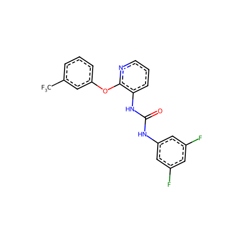 O=C(Nc1cc(F)cc(F)c1)Nc1cccnc1Oc1cccc(C(F)(F)F)c1